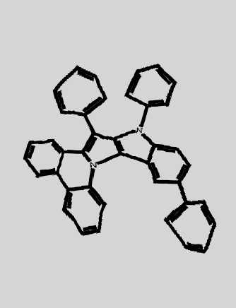 c1ccc(-c2ccc3c(c2)c2c(c(-c4ccccc4)c4c5ccccc5c5ccccc5n42)n3-c2ccccc2)cc1